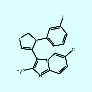 Cc1nc2ccc(Cl)cn2c1C1=CSCN1c1cccc(F)c1